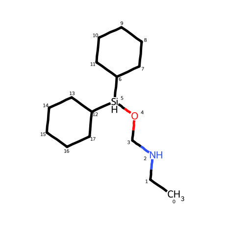 CCNCO[SiH](C1CCCCC1)C1CCCCC1